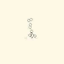 CC1(C)c2ccccc2-n2c3ccc(-c4ccc5cc(-c6cccc7ccccc67)ccc5c4)cc3c3cccc1c32